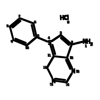 Cl.NC1=CS(c2ccccc2)=C2CN=CN=C12